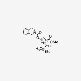 COC(=O)[C@@H]1C[C@@H](OC(=O)N2CCc3ccccc3C2)CN1C(=O)[C@@H](C)C(C)(C)C